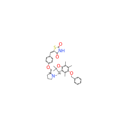 Cc1c(C)c2c(c(C)c1OCc1ccccc1)[C@H](CN1CCC[C@H]1COc1ccc(C=C3SC(=O)NC3=O)cc1)C(C)(C)O2